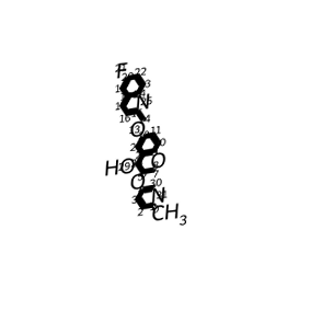 Cc1ccc(O[C@H]2COc3ccc(OCc4ccc5cc(F)ccc5n4)cc3[C@H]2O)cn1